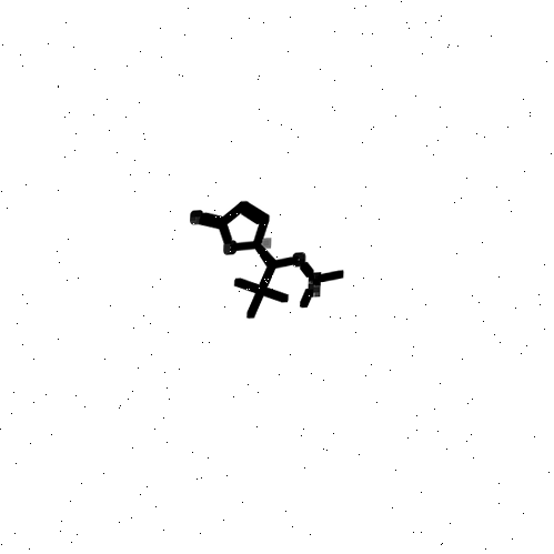 C[SiH](C)OC([C@@H]1C=CC(=O)O1)C(C)(C)C